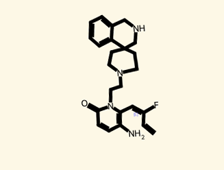 C=C/C(F)=C\c1c(N)ccc(=O)n1CCN1CCC2(CC1)CNCc1ccccc12